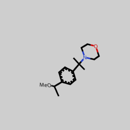 COC(C)c1ccc(C(C)(C)N2CCOCC2)cc1